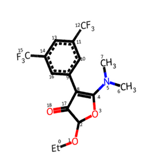 CCOC1OC(N(C)C)=C(c2cc(C(F)(F)F)cc(C(F)(F)F)c2)C1=O